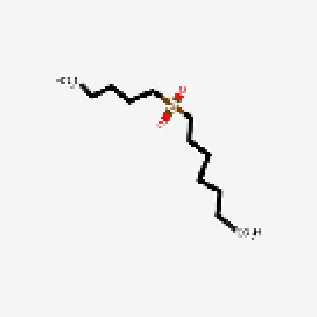 O=C(O)CCCCCCS(=O)(=O)CCCCC(=O)O